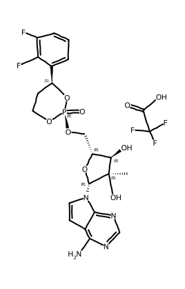 C[C@@]1(O)[C@H](O)[C@@H](CO[P@@]2(=O)OCC[C@@H](c3cccc(F)c3F)O2)O[C@H]1n1ccc2c(N)ncnc21.O=C(O)C(F)(F)F